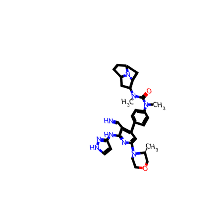 C[C@@H]1COCCN1c1cc(-c2ccc(N(C)C(=O)N(C)C3CC4CCC5CC3N45)cc2)c(C=N)c(Nc2cc[nH]n2)n1